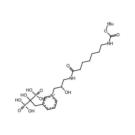 CC(C)(C)OC(=O)NCCCCCCC(=O)NCC(O)C[n+]1cccc(CC(O)(P(=O)(O)O)P(=O)(O)O)c1